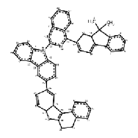 CC1(C)c2ccccc2C2=CC=C(c3nc(-n4c5ccccc5c5cc(C6=CC7C8=C(CCc9ccccc98)SC7C=C6)ccc54)nc4ccccc34)CC21